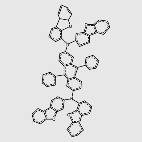 C1=CC2Oc3c(cccc3N(c3ccc4c(c3)oc3ccccc34)c3ccc4c(-c5ccccc5)c5cc(N(c6ccc7c(c6)oc6ccccc67)c6cccc7c6oc6ccccc67)ccc5c(-c5ccccc5)c4c3)C2C=C1